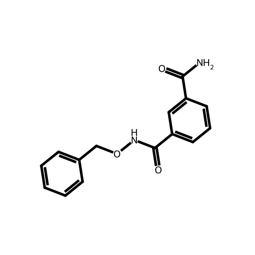 NC(=O)c1cccc(C(=O)NOCc2ccccc2)c1